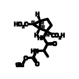 CC(NC(=O)OC(C)(C)C)C(=O)N[C@@]1(C(=O)O)CC[C@H]2[C@H](C(=O)O)[C@H]21